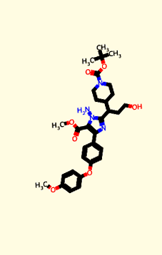 COC(=O)c1c(-c2ccc(Oc3ccc(OC)cc3)cc2)nc(C(CCO)C2CCN(C(=O)OC(C)(C)C)CC2)n1N